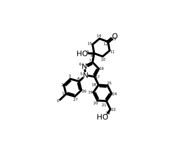 Cc1ccc(-n2nc(C3(O)CCC(=O)CC3)cc2-c2ccc(CO)cc2)cc1